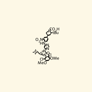 COc1cc(OC)c(Cl)c(N(COCC[Si](C)(C)C)C(=O)N(C)c2cc(Nc3ccc(C4=CC(C(C)(C)C)N(C(=O)O)CC4)cc3[N+](=O)[O-])ncn2)c1Cl